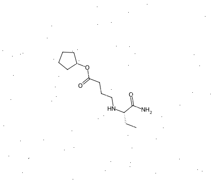 CC[C@H](NCCCC(=O)OC1CCCC1)C(N)=O